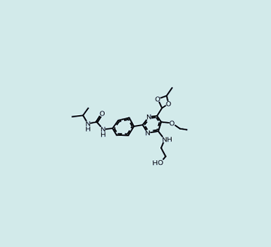 CCOc1c(NCCO)nc(-c2ccc(NC(=O)NC(C)C)cc2)nc1C1OC(C)O1